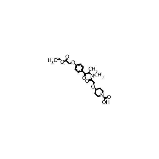 CCOC(=O)COc1ccc(C(=O)[C@H](C)N(C)C(=O)COC2CCN(C(=O)O)CC2)cc1